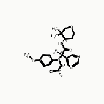 CC1(C)COCC[C@@H]1NC(=O)[C@](C)(c1cncnc1)N(C(=O)[C@H](F)Cl)c1ccc(OC(F)(F)F)cc1